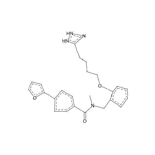 CN(Cc1ccccc1OCCCCc1n[nH][nH]1)C(=O)c1ccc(-c2ccco2)cc1